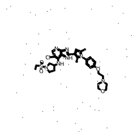 CCS(=O)(=O)N1CCC(Nc2c(Cl)cnc3nc(-c4cc(C)n(-c5ccc(OCCN6CCOCC6)cc5)c4C)[nH]c23)C1